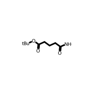 CC(C)(C)OC(=O)CCCC([NH])=O